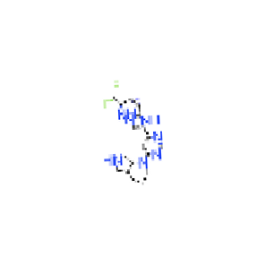 N=C(/C=C\c1ncc(-c2cc(N3CCCC4CNCC43)ncn2)[nH]1)C(F)F